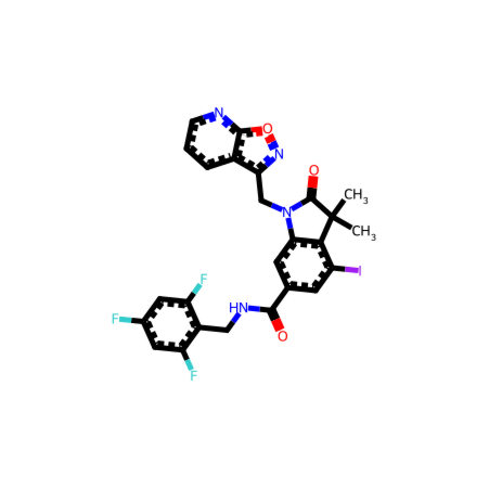 CC1(C)C(=O)N(Cc2noc3ncccc23)c2cc(C(=O)NCc3c(F)cc(F)cc3F)cc(I)c21